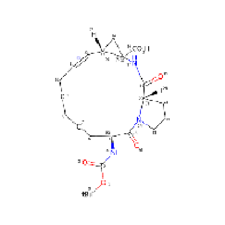 CC(C)(C)OC(=O)N[C@H]1CCCCC/C=C\[C@@H]2C[C@@]2(C(=O)O)NC(=O)[C@@H]2CCCN2C1=O